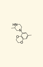 Cc1cc2c(c(N3CCNC(C)C3)c1)OCCO2